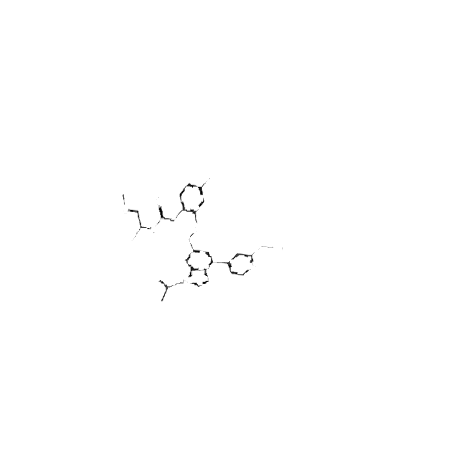 COCC(C)OC(=O)Cc1ccc(C)cc1OCc1cc(-c2ccnc(CN)c2)c2ccn(C(C)C)c2c1